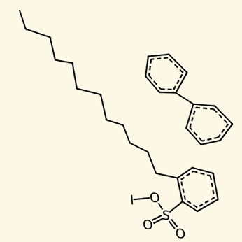 CCCCCCCCCCCCc1ccccc1S(=O)(=O)OI.c1ccc(-c2ccccc2)cc1